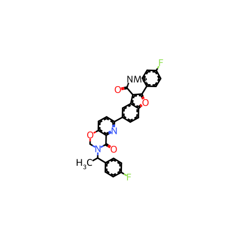 CNC(=O)c1c(-c2ccc(F)cc2)oc2ccc(-c3ccc4c(n3)C(=O)N(C(C)c3ccc(F)cc3)CO4)cc12